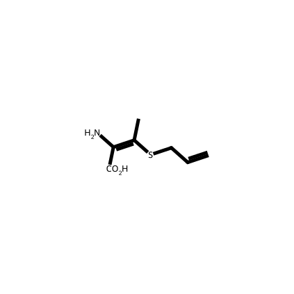 C=CCSC(C)=C(N)C(=O)O